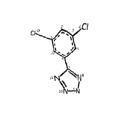 Clc1cc(Cl)cc(C2=N[N]N=N2)c1